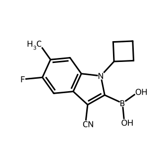 Cc1cc2c(cc1F)c(C#N)c(B(O)O)n2C1CCC1